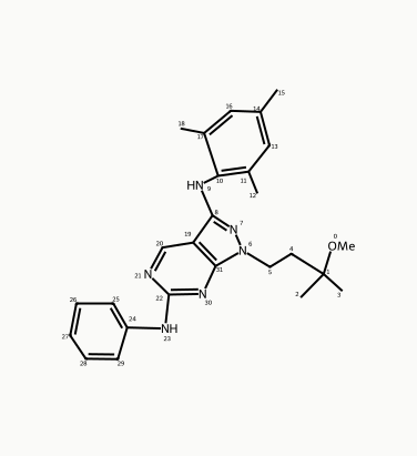 COC(C)(C)CCn1nc(Nc2c(C)cc(C)cc2C)c2cnc(Nc3ccccc3)nc21